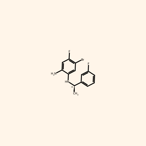 C[C@@H](Nc1cc(Br)c(F)cc1N)c1cccc(F)c1